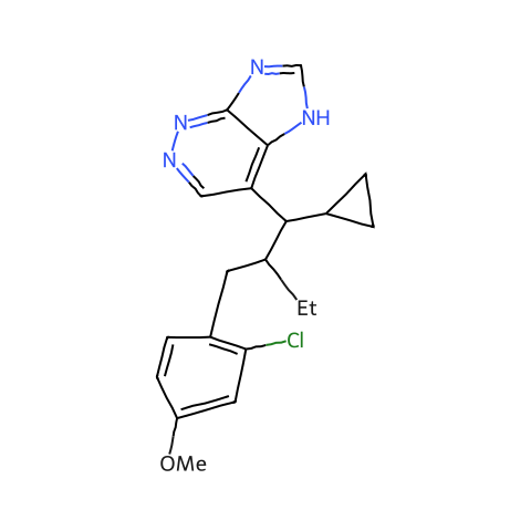 CCC(Cc1ccc(OC)cc1Cl)C(c1cnnc2nc[nH]c12)C1CC1